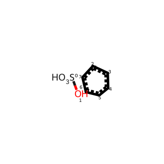 O=S(=O)(O)O.[c]1ccccc1